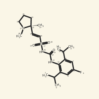 CC(C)c1cc(F)cc(C(C)C)c1NC(=O)NS(=O)(=O)/C=C/[C@]1(C)CCCN1C